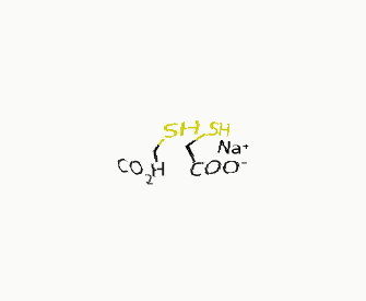 O=C(O)CS.O=C([O-])CS.[Na+]